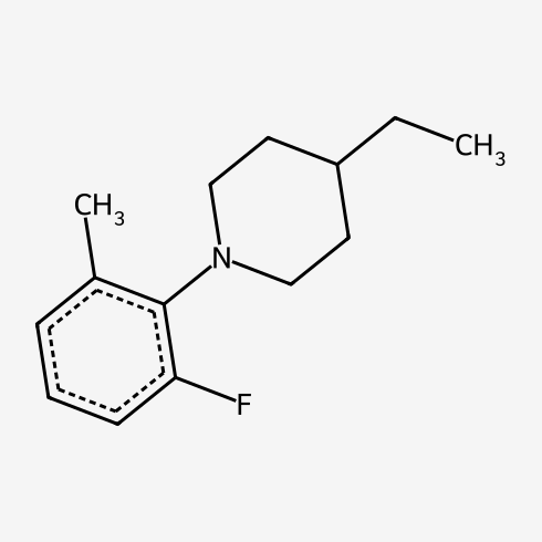 CCC1CCN(c2c(C)cccc2F)CC1